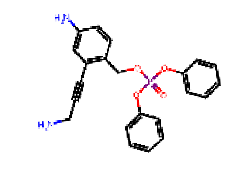 NCC#Cc1cc(N)ccc1COP(=O)(Oc1ccccc1)Oc1ccccc1